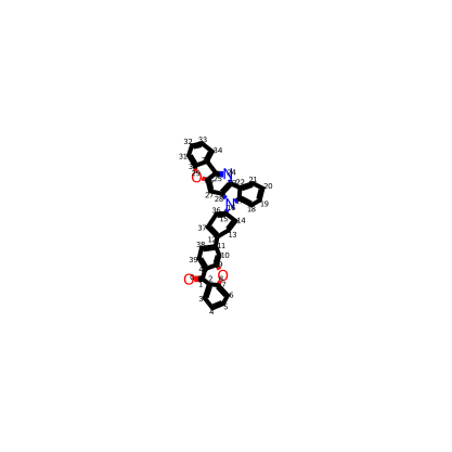 O=c1c2ccccc2oc2cc(-c3ccc(-n4c5ccccc5c5nc6c(cc54)oc4ccccc46)cc3)ccc12